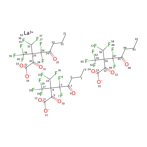 CCCC(=O)C(F)(F)C(C(=O)C(=O)[O-])(C(F)F)C(F)(F)F.CCCC(=O)C(F)(F)C(C(=O)C(=O)[O-])(C(F)F)C(F)(F)F.CCCC(=O)C(F)(F)C(C(=O)C(=O)[O-])(C(F)F)C(F)(F)F.[La+3]